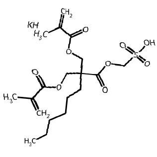 C=C(C)C(=O)OCC(CCCCCC)(COC(=O)C(=C)C)C(=O)OCS(=O)(=O)O.[KH]